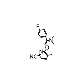 Cc1ccc(C#N)nc1OC=C(c1ccc(F)cc1)N(C)C